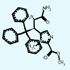 COC(=O)c1ncc([C@H]([C@H](N)C(N)=O)C(c2ccccc2)(c2ccccc2)c2ccccc2)n1C